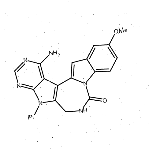 COc1ccc2c(c1)cc1n2C(=O)NCc2c-1c1c(N)ncnc1n2C(C)C